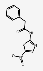 O=C(Cc1ccccc1)Nc1ncc([N+](=O)[O-])s1